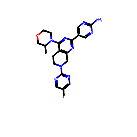 CC1COCCN1c1nc(-c2cnc(N)nc2)nc2c1CCN(c1ncc(F)cn1)C2